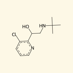 CC(C)(C)NCC(O)c1ncccc1Cl